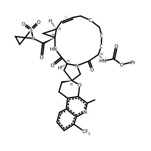 Cc1nc2c(C(F)(F)F)cccc2c2c1O[C@]1(CC2)C[C@H]2C(=O)N[C@]3(C(=O)N4C5(CC5)S4(=O)=O)C[C@H]3/C=C\CCCCC[C@H](NC(=O)OC(C)C)C(=O)N2C1